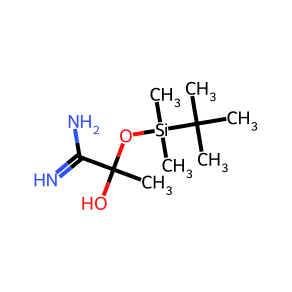 CC(O)(O[Si](C)(C)C(C)(C)C)C(=N)N